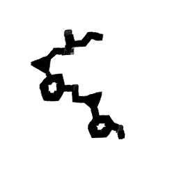 CCCC(=O)NC[C@@H]1C[C@H]1c1cccc(OCC2CC2c2cccc(OC)c2)c1